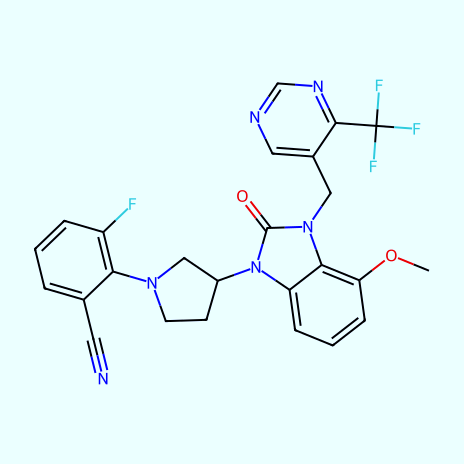 COc1cccc2c1n(Cc1cncnc1C(F)(F)F)c(=O)n2C1CCN(c2c(F)cccc2C#N)C1